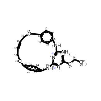 C=C(/N=C1\N=C(/N)Nc2ccc(cc2)OCC=CCOc2ccc(cc2)N1)OCC(F)(F)F